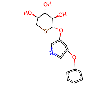 O[C@@H]1[C@@H](O)[C@H](Oc2cncc(Oc3ccccc3)c2)SC[C@H]1O